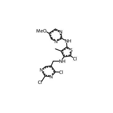 COc1cnc(Nc2sc(Cl)c(NCc3cnc(Cl)nc3Cl)c2C)nc1